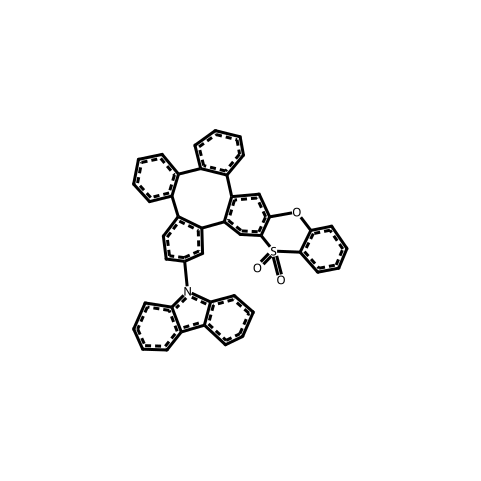 O=S1(=O)c2ccccc2Oc2cc3c(cc21)-c1cc(-n2c4ccccc4c4ccccc42)ccc1-c1ccccc1-c1ccccc1-3